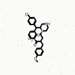 COc1ccc(CC(CC(=O)N2CCNCC2C(c2ccccc2)c2ccc(Cl)cc2)C(N)=O)cc1